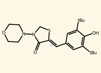 CC(C)(C)c1cc(/C=C2\SCN(N3CCOCC3)C2=O)cc(C(C)(C)C)c1O